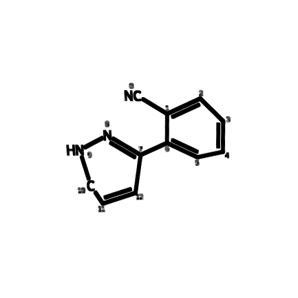 N#Cc1ccccc1C1=NNCC=C1